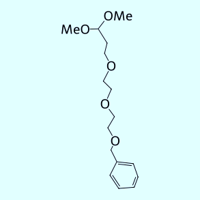 COC(CCOCCOCCOCc1ccccc1)OC